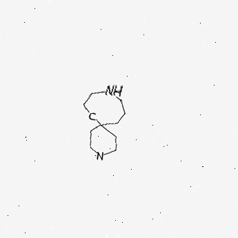 C1CNCCCC2(C1)CC[N]CC2